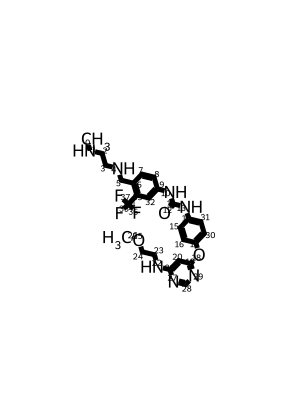 CNCCNCc1ccc(NC(=O)Nc2ccc(Oc3cc(NCCOC)ncn3)cc2)cc1C(F)(F)F